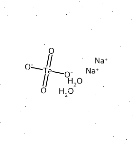 O.O.O=[Te](=O)([O-])[O-].[Na+].[Na+]